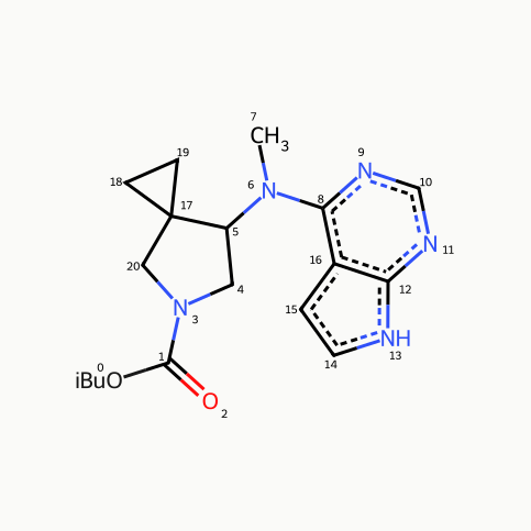 CC(C)COC(=O)N1CC(N(C)c2ncnc3[nH]ccc23)C2(CC2)C1